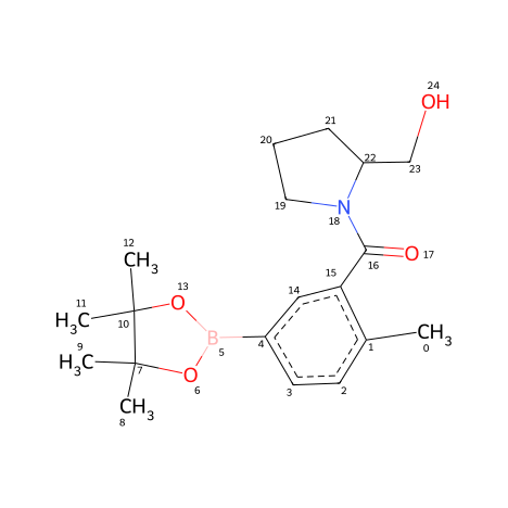 Cc1ccc(B2OC(C)(C)C(C)(C)O2)cc1C(=O)N1CCCC1CO